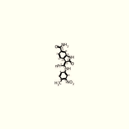 CCC/C(Nc1ccc(C)c([N+](=O)[O-])c1)=C1/C(=O)Nc2cc(C(N)=O)ccc21